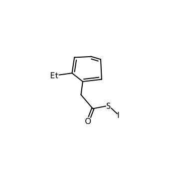 CCc1ccccc1CC(=O)SI